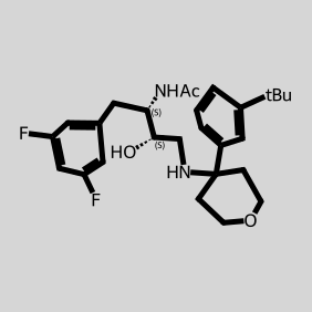 CC(=O)N[C@@H](Cc1cc(F)cc(F)c1)[C@@H](O)CNC1(c2cccc(C(C)(C)C)c2)CCOCC1